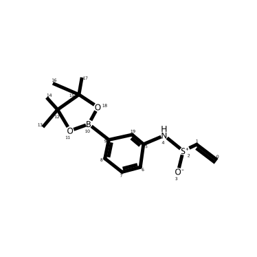 C=C[S+]([O-])Nc1cccc(B2OC(C)(C)C(C)(C)O2)c1